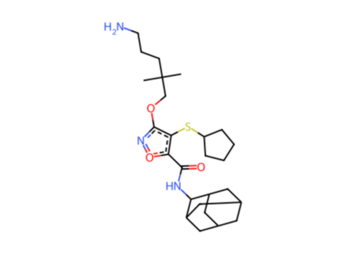 CC(C)(CCCN)COc1noc(C(=O)NC2C3CC4CC(C3)CC2C4)c1SC1CCCC1